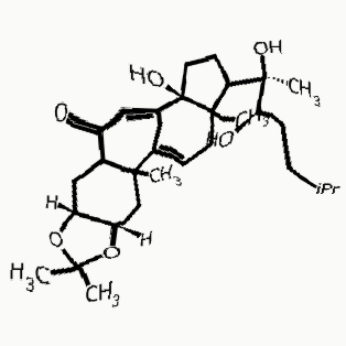 CC(C)CC[C@@H](O)[C@](C)(O)C1CC[C@@]2(O)C3=CC(=O)C4C[C@H]5OC(C)(C)O[C@H]5CC4(C)C3=CCC12C